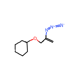 C=C(COC1CCCCC1)N=[N+]=[N-]